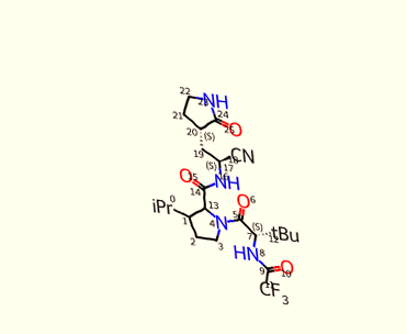 CC(C)C1CCN(C(=O)[C@@H](NC(=O)C(F)(F)F)C(C)(C)C)C1C(=O)N[C@H](C#N)C[C@@H]1CCNC1=O